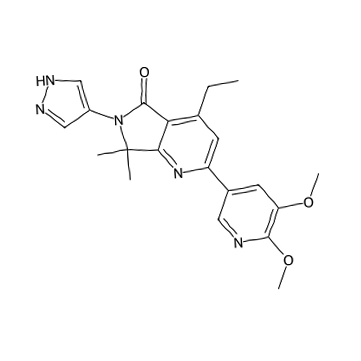 CCc1cc(-c2cnc(OC)c(OC)c2)nc2c1C(=O)N(c1cn[nH]c1)C2(C)C